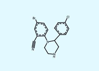 N#Cc1cc(Br)ccc1N1CCNCC1c1ccc(Cl)cc1